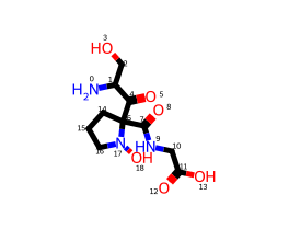 NC(CO)C(=O)C1(C(=O)NCC(=O)O)CCCN1O